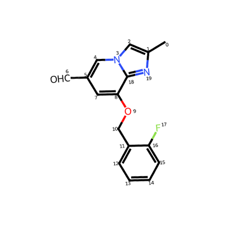 Cc1cn2cc(C=O)cc(OCc3ccccc3F)c2n1